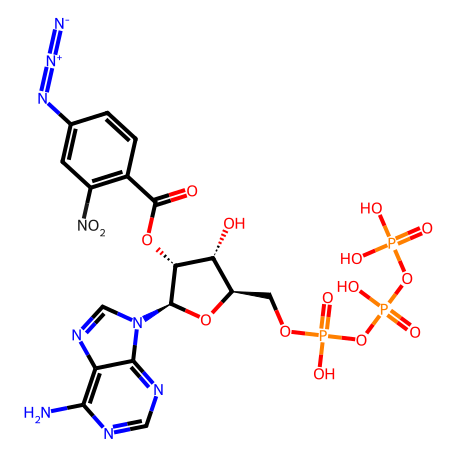 [N-]=[N+]=Nc1ccc(C(=O)O[C@@H]2[C@H](O)[C@@H](COP(=O)(O)OP(=O)(O)OP(=O)(O)O)O[C@H]2n2cnc3c(N)ncnc32)c([N+](=O)[O-])c1